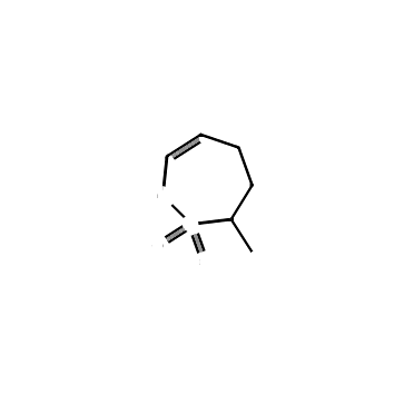 CC1CCC=COS1(=O)=O